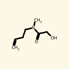 C=CCCN(C)C(=O)CO